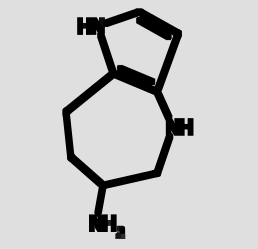 NC1CCc2[nH]ccc2NC1